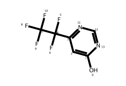 Oc1cc(C(F)(F)C(F)(F)F)ncn1